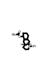 CCCN1CCC[C@@H]2CC3=C(CCCC3OC(=O)C(C)(C)C)C[C@H]21